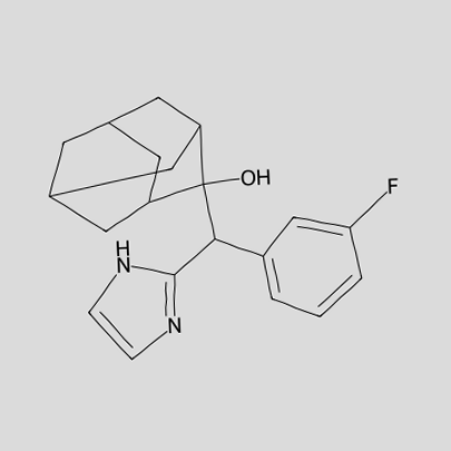 OC1(C(c2cccc(F)c2)c2ncc[nH]2)C2CC3CC(C2)CC1C3